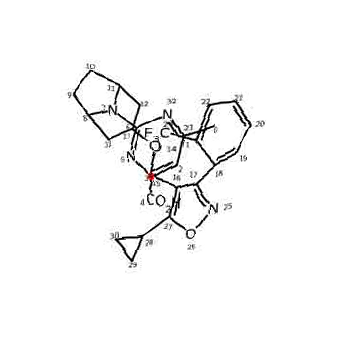 Cc1cc(C(=O)O)nc(N2C3CCC2CC(OCc2c(-c4ccccc4C(F)(F)F)noc2C2CC2)C3)n1